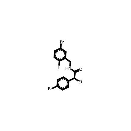 CCC(C(=O)NCc1cc(Br)ccc1F)c1ccc(Br)cc1